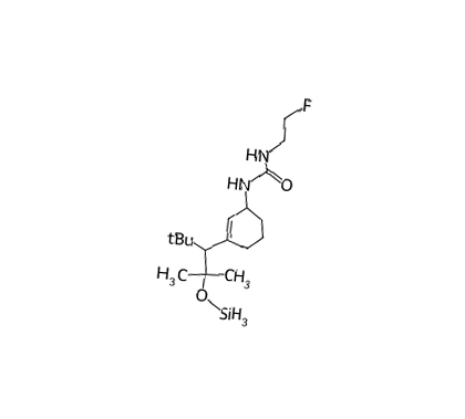 CC(C)(C)C(C1=CC(NC(=O)NCCF)CCC1)C(C)(C)O[SiH3]